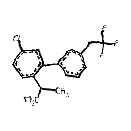 CC(C)c1ccc(Cl)cc1-c1cccc(CC(F)(F)F)c1